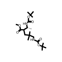 COC(=O)C(CC(C)(C)CNC(=O)OC(C)(C)C)[C@@H](C)NC(=O)OC(C)(C)C